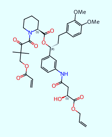 C=CCOC(=O)[C@@H](O)CC(=O)Nc1cccc([C@@H](CCc2ccc(OC)c(OC)c2)OC(=O)[C@@H]2CCCCN2C(=O)C(=O)C(C)(C)COC(=O)C=C)c1